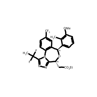 CCOC(=O)C[C@H]1O[C@H](c2cccc(OC)c2C)c2cc(C(F)(F)F)ccc2-n2c1nnc2C(C)(F)F